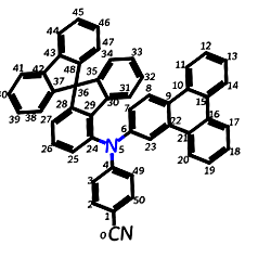 N#Cc1ccc(N(c2ccc3c4ccccc4c4ccccc4c3c2)c2cccc3c2-c2ccccc2C32c3ccccc3-c3ccccc32)cc1